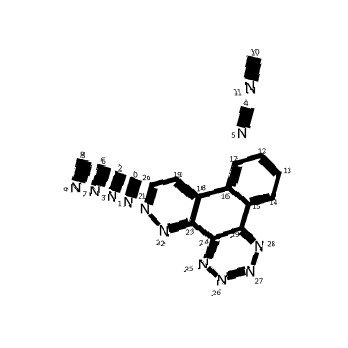 C#N.C#N.C#N.C#N.C#N.C#N.c1ccc2c(c1)c1ccnnc1c1nnnnc21